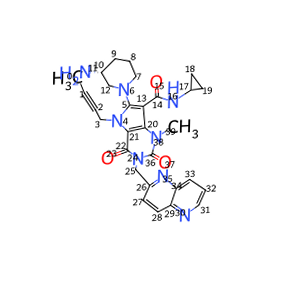 CC#CCn1c(N2CCC[C@@H](N)C2)c(C(=O)NC2CC2)c2c1c(=O)n(Cc1ccc3ncccc3n1)c(=O)n2C